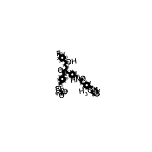 C[N+]1(Cc2ccc(CC(=O)NCc3ccc(C4C(CCC(O)c5ccc(F)cc5)C(=O)N4c4ccc(F)cc4)cc3)cc2)CCOCC1.O=C([O-])C(F)(F)F